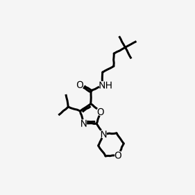 CC(C)c1nc(N2CCOCC2)oc1C(=O)NCCCC(C)(C)C